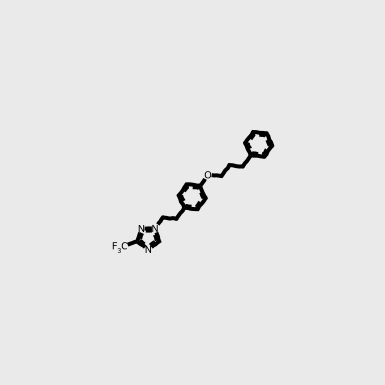 FC(F)(F)c1ncn(CCc2ccc(OCCCc3ccccc3)cc2)n1